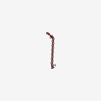 Cc1cc(C)cc(CNCCOCCOCCOCCOCCOCCOCCOCCOCCOCCOCCOCCOc2ccc3nc(/C=C/c4ccc(N(C)C)cc4)oc3c2)c1